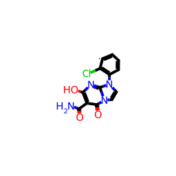 NC(=O)c1c(O)nc2n(-c3ccc[c]c3Cl)ccn2c1=O